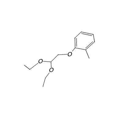 CCOC(COc1ccccc1C)OCC